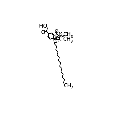 CCCCCCCCCCCCCCCCOc1ccc(C(=O)CO)cc1S(=O)(=O)OC(C)(C)C